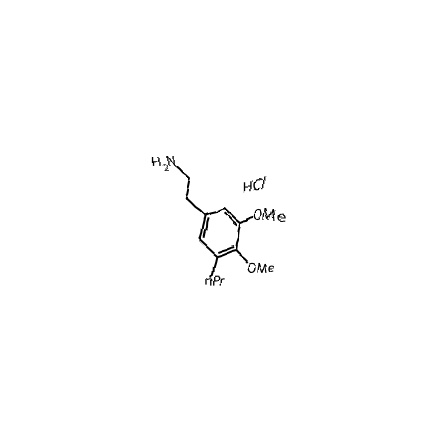 CCCc1cc(CCN)cc(OC)c1OC.Cl